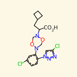 O=C(O)C(CC1CCC1)N1CON(c2cc(Cl)ccc2-n2cc(Cl)nn2)CO1